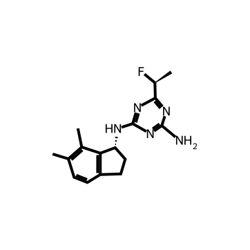 Cc1ccc2c(c1C)[C@H](Nc1nc(N)nc([C@H](C)F)n1)CC2